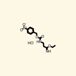 CCOC(=N)CCNC(=O)OCc1ccc([N+](=O)[O-])cc1.Cl